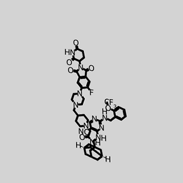 N#Cc1cnc(NCc2ccccc2OC(F)(F)F)nc1NCC12CC3C[C@H](C1)C(NC(=O)CN1CCC(CN4CCN(c5cc6c(cc5F)C(=O)N(C5CCC(=O)NC5=O)C6=O)CC4)CC1)[C@@H](C3)C2